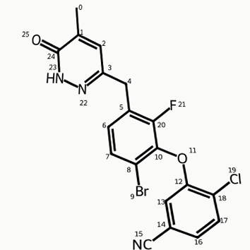 Cc1cc(Cc2ccc(Br)c(Oc3cc(C#N)ccc3Cl)c2F)n[nH]c1=O